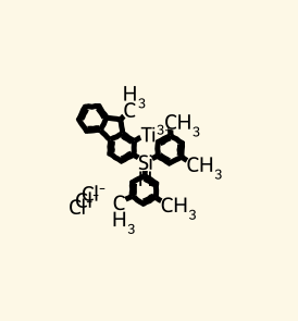 Cc1cc(C)cc([SiH](c2cc(C)cc(C)c2)c2ccc3c([c]2[Ti+3])C(C)c2ccccc2-3)c1.[Cl-].[Cl-].[Cl-]